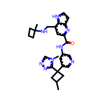 CC1CC(c2cncc(NC(=O)c3cc(CNC4(C)CCC4)c4[nH]ccc4n3)c2)(c2nncn2C)C1